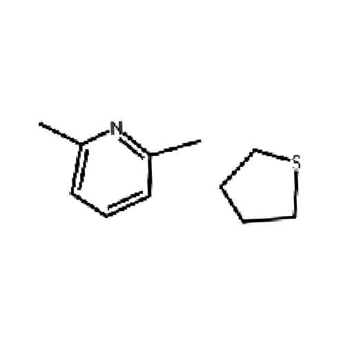 C1CCSC1.Cc1cccc(C)n1